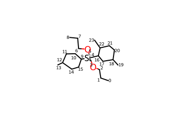 CCCO[Si](OCCC)(C1CCC(C)CC1)C1CC(C)CCC1C